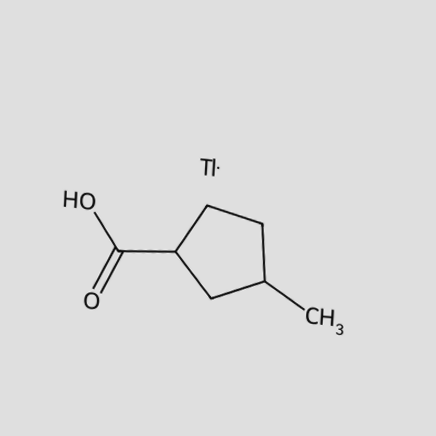 CC1CCC(C(=O)O)C1.[Tl]